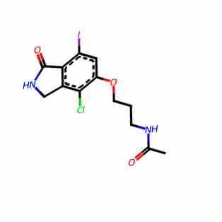 CC(=O)NCCCOc1cc(I)c2c(c1Cl)CNC2=O